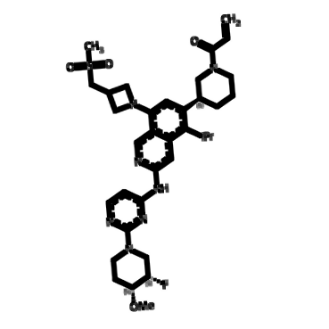 C=CC(=O)N1CCC[C@@H](c2cc(N3CC(CS(C)(=O)=O)C3)c3cnc(Nc4ccnc(N5CC[C@@H](OC)[C@@H](F)C5)n4)cc3c2C(C)C)C1